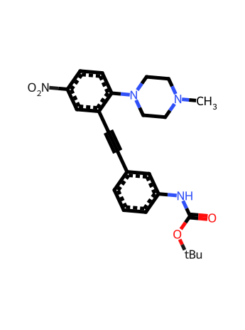 CN1CCN(c2ccc([N+](=O)[O-])cc2C#Cc2cccc(NC(=O)OC(C)(C)C)c2)CC1